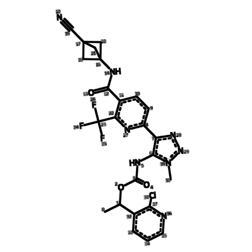 CC(OC(=O)Nc1c(-c2ccc(C(=O)NC34CC(C#N)(C3)C4)c(C(F)(F)F)n2)nnn1C)c1cccnc1Cl